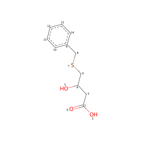 O=C(O)CC(O)CSCc1ccccc1